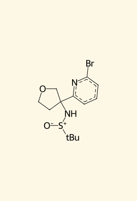 CC(C)(C)[S+]([O-])NC1(c2cccc(Br)n2)CCOC1